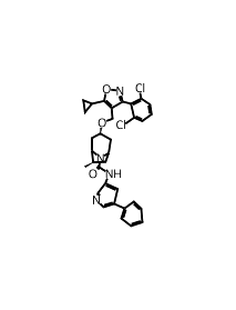 C[C@@H]1CC2C[C@H](OCc3c(-c4c(Cl)cccc4Cl)noc3C3CC3)CC1N2C(=O)Nc1cncc(-c2ccccc2)c1